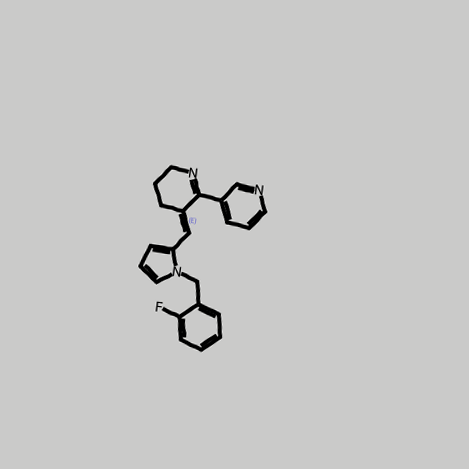 Fc1ccccc1Cn1cccc1/C=C1\CCCN=C1c1cccnc1